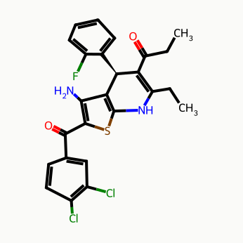 CCC(=O)C1=C(CC)Nc2sc(C(=O)c3ccc(Cl)c(Cl)c3)c(N)c2[C@H]1c1ccccc1F